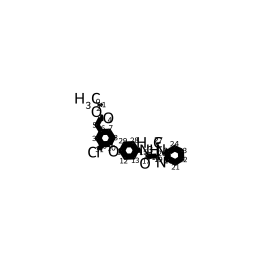 CCOC(=O)Cc1ccc(Oc2ccc(NC(=O)c3nc4ccccc4n3C)cc2)c(Cl)c1